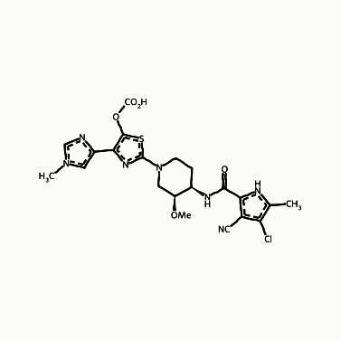 CO[C@H]1CN(c2nc(-c3cn(C)cn3)c(OC(=O)O)s2)CC[C@H]1NC(=O)c1[nH]c(C)c(Cl)c1C#N